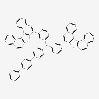 c1ccc(-c2ccc(-c3ccc(C(c4cccc(-c5cc6ccccc6c6c5oc5ccc7ccccc7c56)c4)c4cccc(-c5cc6ccccc6c6c5oc5ccc7ccccc7c56)c4)cc3)cc2)cc1